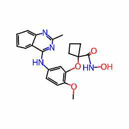 COc1ccc(Nc2nc(C)nc3ccccc23)cc1OC1(C(=O)NO)CCC1